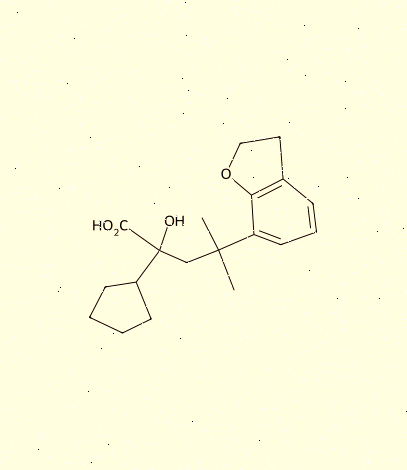 CC(C)(CC(O)(C(=O)O)C1CCCC1)c1cccc2c1OCC2